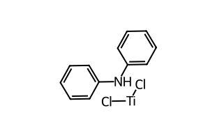 [Cl][Ti][Cl].c1ccc(Nc2ccccc2)cc1